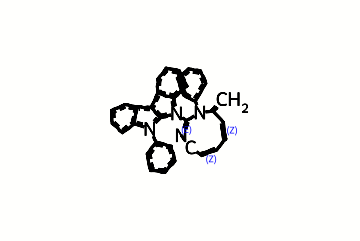 C=C1/C=C\C=C/C/N=C(/n2c3ccccc3c3c4ccccc4n(-c4ccccc4)c32)N1c1ccccc1